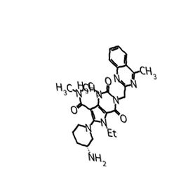 CCn1c(N2CCC[C@@H](N)C2)c(C(=O)N(C)C)c2c1c(=O)n(Cc1nc(C)c3ccccc3n1)c(=O)n2C